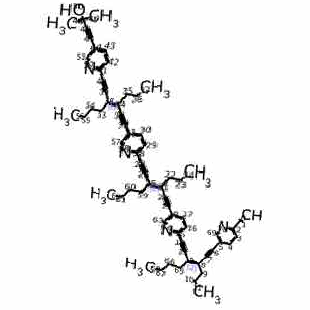 C#Cc1ccc(C#C/C(CCC)=C(\C#Cc2ccc(C#C/C(CCC)=C(/C#Cc3ccc(C#C/C(CCC)=C(/C#Cc4ccc(C#CC(C)(C)O)cn4)CCCC)cn3)CCCC)cn2)CCCC)cn1